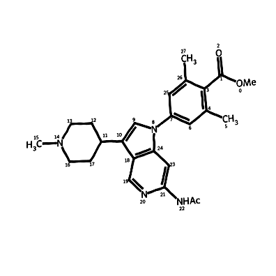 COC(=O)c1c(C)cc(-n2cc(C3CCN(C)CC3)c3cnc(NC(C)=O)cc32)cc1C